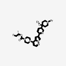 CCOC1(C2C=CC(c3cc4c(N5CCN(C(=O)O[C@@H](C)CF)CC5)ccnn4c3)=NC2)CCN(C(C)C)CC1